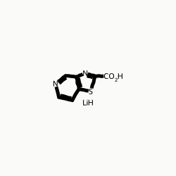 O=C(O)c1nc2cnccc2s1.[LiH]